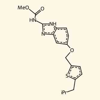 COC(=O)Nc1nc2cc(OCc3ccc(CC(C)C)s3)ccc2[nH]1